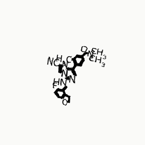 Cc1cc(C(=O)N(C)C)ccc1-c1cnc(NCc2c(F)ccc3c2CCO3)n2cc(C#N)nc12